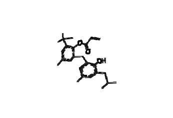 C=CC(=O)Oc1c(Cc2cc(C)cc(CC(C)C)c2O)cc(C)cc1C(C)(C)C